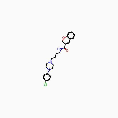 O=C(NCCCCN1CCN(c2ccc(Cl)cc2)CC1)C1=Cc2ccccc2OC1